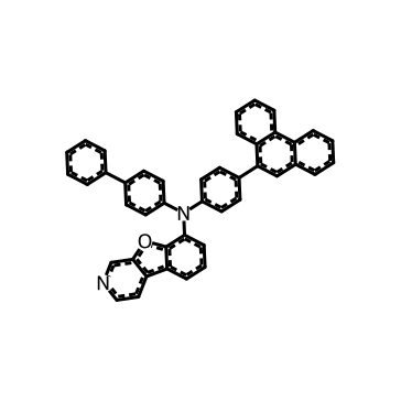 c1ccc(-c2ccc(N(c3ccc(-c4cc5ccccc5c5ccccc45)cc3)c3cccc4c3oc3cnccc34)cc2)cc1